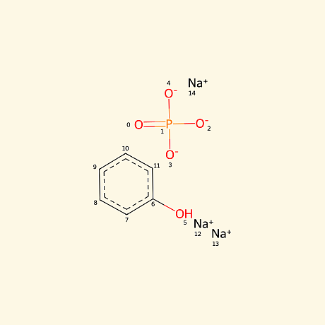 O=P([O-])([O-])[O-].Oc1ccccc1.[Na+].[Na+].[Na+]